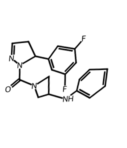 O=C(N1CC(Nc2ccccc2)C1)N1N=CCC1c1cc(F)cc(F)c1